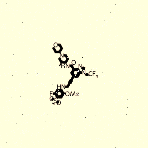 COc1cc(S(C)(=O)=O)c(F)cc1NCC#Cc1cc(C(=O)N[C@H]2CCN(C3CCOCC3)C[C@@H]2C)c2ncn(CC(F)(F)F)c2c1